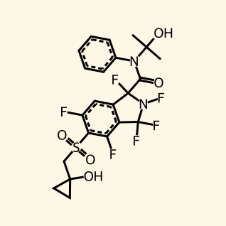 CC(C)(O)N(C(=O)C1(F)c2cc(F)c(S(=O)(=O)CC3(O)CC3)c(F)c2C(F)(F)N1F)c1ccccc1